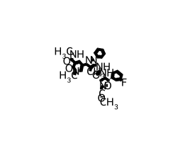 CNC(=O)c1cc(-c2nn(-c3ccccc3)c(NC(=O)N[C@@H]3CN(CCOC)O[C@H]3c3cccc(F)c3)c2C)cn(C)c1=O